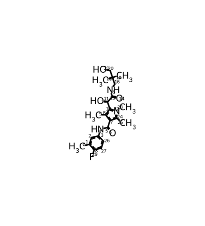 Cc1cc(NC(=O)c2c(C)c(C(O)C(=O)NCC(C)(C)CO)n(C)c2C)ccc1F